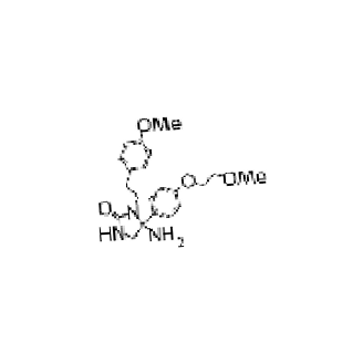 COCCOc1ccc(C2(N)CNC(=O)N2CCc2ccc(OC)cc2)cc1